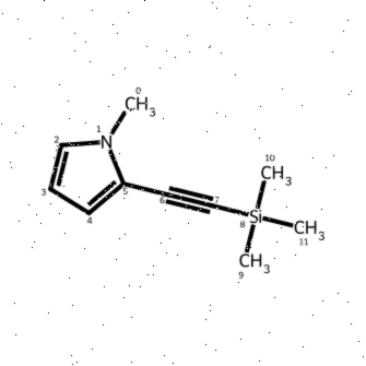 Cn1cccc1C#C[Si](C)(C)C